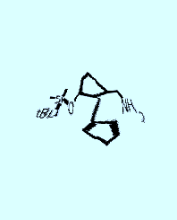 CC(C)(C)[Si](C)(C)O[C@H]1CCCC(CN)[C@H]1c1ccccc1